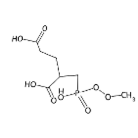 COOP(=O)(O)CC(CCC(=O)O)C(=O)O